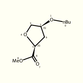 CCCCO[C@@H]1CO[C@H](C(=O)OC)C1